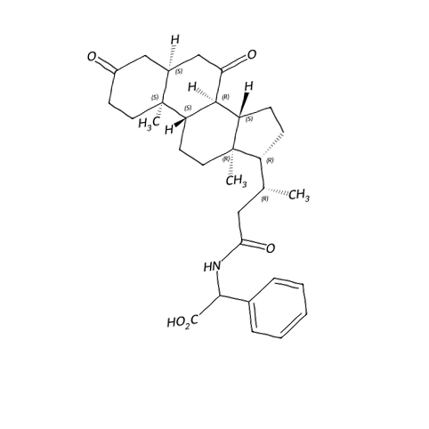 C[C@H](CC(=O)NC(C(=O)O)c1ccccc1)[C@H]1CC[C@H]2[C@@H]3C(=O)C[C@@H]4CC(=O)CC[C@]4(C)[C@H]3CC[C@]12C